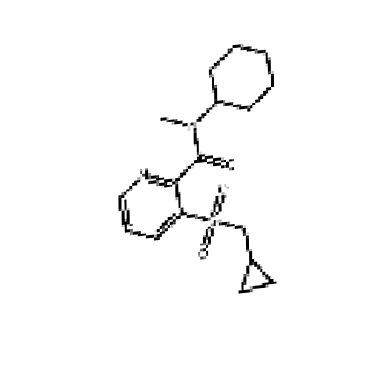 CN(C(=O)c1ncccc1S(=O)(=O)CC1CC1)C1CCCCC1